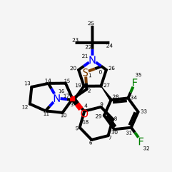 CSCC1(C2CCCCC2)CC2CCC(C1)N2C(=O)C1CN(C(C)(C)C)C[C@H]1c1ccc(F)cc1F